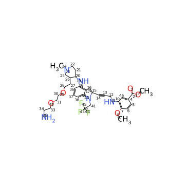 COC(=O)c1ccc(OC)c(NCC#Cc2cc3c(NC4CCN(C)CC4CCOCCOCCN)cccc3n2CC(F)(F)F)c1